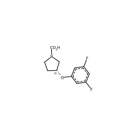 O=C(O)N1CC[C@@H](Oc2cc(F)cc(F)c2)C1